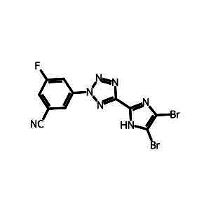 N#Cc1cc(F)cc(-n2nnc(-c3nc(Br)c(Br)[nH]3)n2)c1